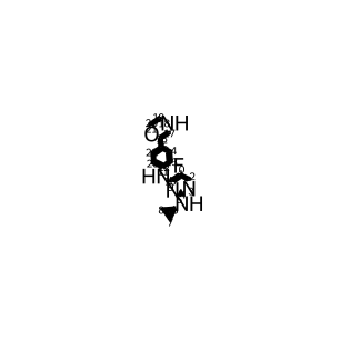 Fc1cnc(NC2CC2)nc1Nc1ccc(C2CNCCO2)cc1